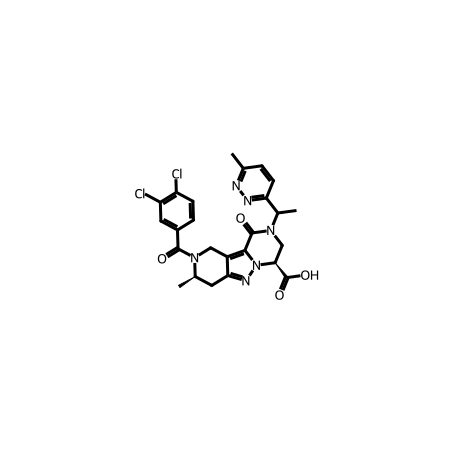 Cc1ccc(C(C)N2C[C@@H](C(=O)O)n3nc4c(c3C2=O)CN(C(=O)c2ccc(Cl)c(Cl)c2)[C@H](C)C4)nn1